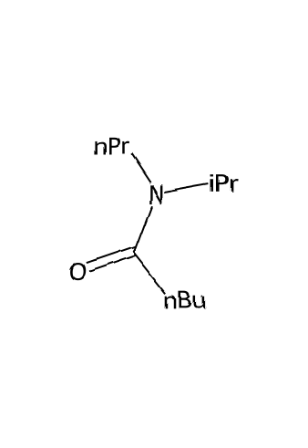 [CH2]CCCC(=O)N(CCC)C(C)C